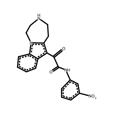 O=C(Nc1cccc([N+](=O)[O-])c1)C(=O)c1c2n(c3ccccc13)CCNCC2